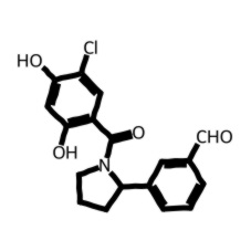 O=Cc1cccc(C2CCCN2C(=O)c2cc(Cl)c(O)cc2O)c1